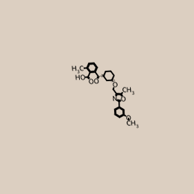 COc1cccc(-c2nc(CO[C@H]3CCC[C@@H](C(=O)c4cccc(C)c4C(=O)O)C3)c(C)o2)c1